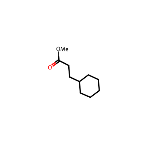 [CH2]OC(=O)CCC1CCCCC1